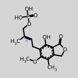 COc1c(C)c2c(c(O)c1C/C=C(\C)COP(=O)(O)O)C(=O)OC2